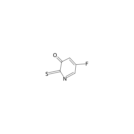 O=C1C=C(F)C=NC1=S